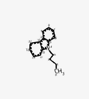 CCCCn1c2[c]cccc2c2ccccc21